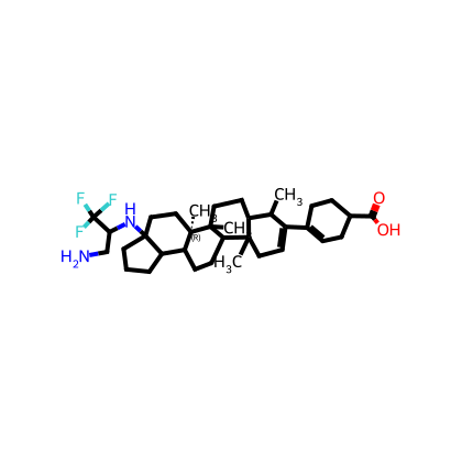 CC1C(C2=CCC(C(=O)O)CC2)=CCC2(C)C1CCC1(C)C2CCC2C3CCCC3(NC(CN)C(F)(F)F)CC[C@]21C